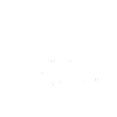 COC(=O)c1cn2ncnc(Nc3ccc4c(c3)OCCO4)c2c1C